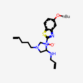 C=CCCCN1CC(NCC=C)[N+]([O-])(c2nc3cc(OCCCC)ccc3s2)C1